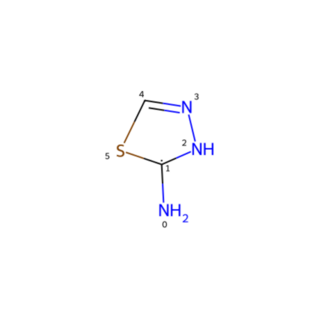 N[C]1NN=CS1